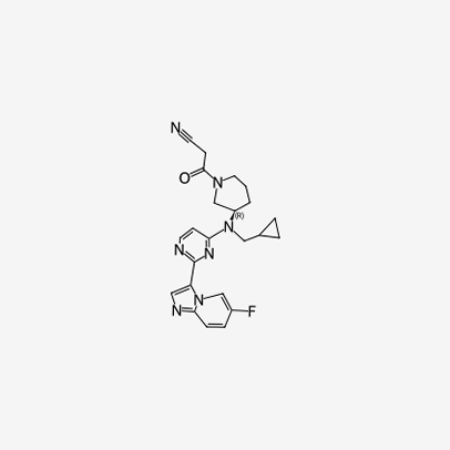 N#CCC(=O)N1CCC[C@@H](N(CC2CC2)c2ccnc(-c3cnc4ccc(F)cn34)n2)C1